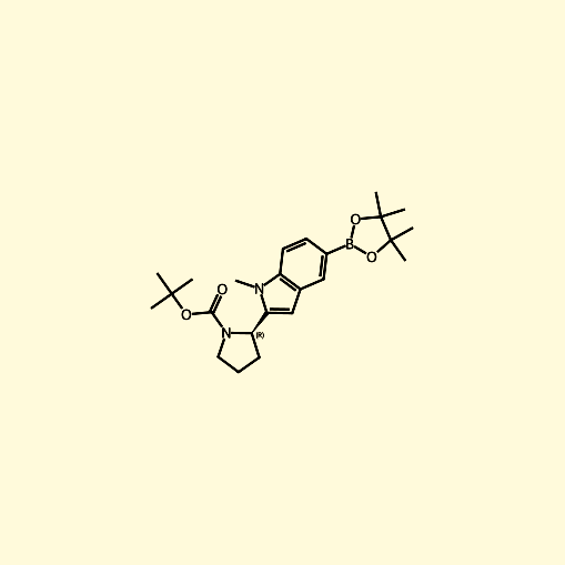 Cn1c([C@H]2CCCN2C(=O)OC(C)(C)C)cc2cc(B3OC(C)(C)C(C)(C)O3)ccc21